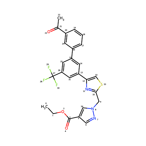 CCOC(=O)c1cnn(Cc2nc(-c3cc(-c4cccc(C(C)=O)c4)cc(C(F)(F)F)c3)cs2)c1